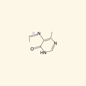 C/C=N\c1c(C)nc[nH]c1=O